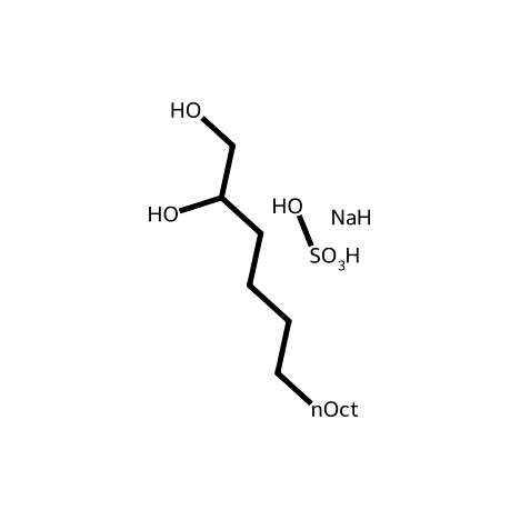 CCCCCCCCCCCCC(O)CO.O=S(=O)(O)O.[NaH]